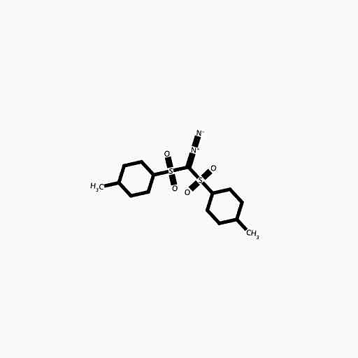 CC1CCC(S(=O)(=O)C(=[N+]=[N-])S(=O)(=O)C2CCC(C)CC2)CC1